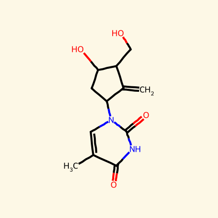 C=C1C(CO)C(O)CC1n1cc(C)c(=O)[nH]c1=O